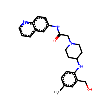 Cc1ccc(NC2CCN(CC(=O)Nc3ccc4ncccc4c3)CC2)c(CO)c1